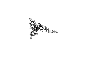 CCCCCCCCCCCCOc1ccc(N2OC(c3ccc(C)cc3C)OC(c3ccc(C)cc3C)O2)c(O)c1